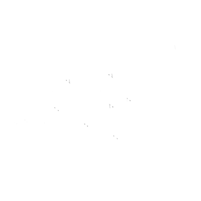 CC#Cc1nc2c3ncn(CC=O)c3nc(N)n2n1